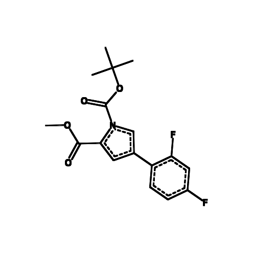 COC(=O)c1cc(-c2ccc(F)cc2F)cn1C(=O)OC(C)(C)C